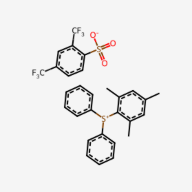 Cc1cc(C)c([S+](c2ccccc2)c2ccccc2)c(C)c1.O=S(=O)([O-])c1ccc(C(F)(F)F)cc1C(F)(F)F